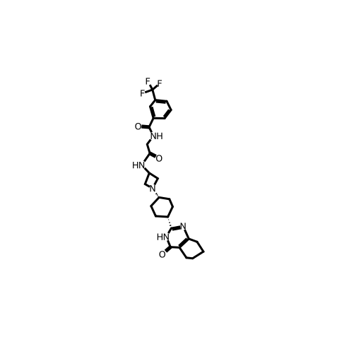 O=C(CNC(=O)c1cccc(C(F)(F)F)c1)NC1CN([C@H]2CC[C@@H](c3nc4c(c(=O)[nH]3)CCCC4)CC2)C1